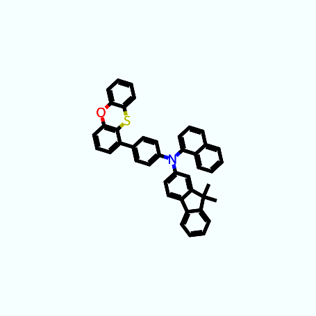 CC1(C)c2ccccc2-c2ccc(N(c3ccc(-c4cccc5c4Sc4ccccc4O5)cc3)c3cccc4ccccc34)cc21